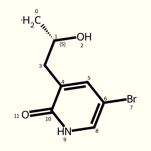 [CH2][C@H](O)Cc1cc(Br)c[nH]c1=O